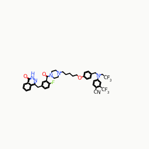 N#Cc1ccc(N(Cc2ccc(OCCCCCN3CCN(C(=O)c4cc(Cc5n[nH]c(=O)c6ccccc56)ccc4F)CC3)cc2)CC(F)(F)F)cc1C(F)(F)F